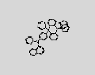 C1=CCC(C2(c3ccc(N(c4ccccc4)c4cccc5ccccc45)cc3)c3ccccc3C3(c4ccccc4)c4ccccc4-c4cccc2c43)C=C1